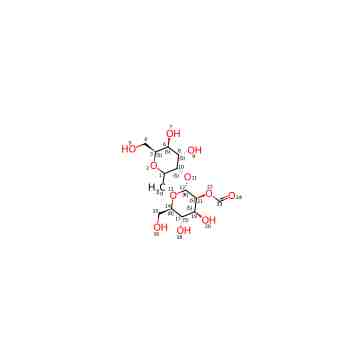 CC1O[C@@H](CO)[C@@H](O)[C@H](O)[C@@H]1O[C@H]1O[C@H](CO)[C@@H](O)[C@H](O)[C@@H]1OC=O